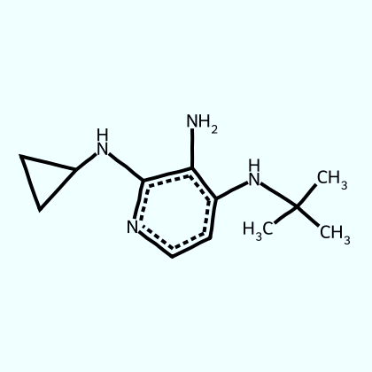 CC(C)(C)Nc1ccnc(NC2CC2)c1N